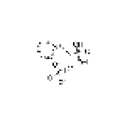 O=P(O)(O)CC[n+]1ccccc1.[O-][Cl+3]([O-])([O-])[O-]